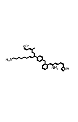 CCC/C=C\C=C(\C)C/C=C(\C=C\CCCCCCN)c1ccc(Cc2ccccc2/C=C(N)/C=C/C=C\C2C=CN2)cc1